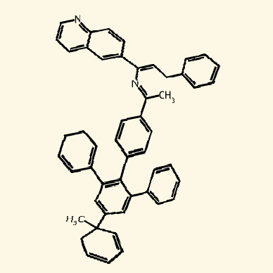 C/C(=N\C(=C/Cc1ccccc1)c1ccc2ncccc2c1)c1ccc(-c2c(C3=CCCC=C3)cc(C3(C)C=CC=CC3)cc2-c2ccccc2)cc1